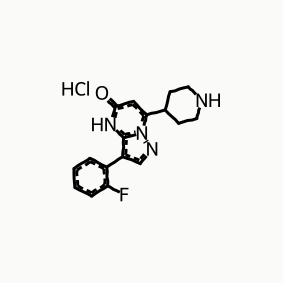 Cl.O=c1cc(C2CCNCC2)n2ncc(-c3ccccc3F)c2[nH]1